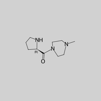 CN1CCN(C(=O)[C@H]2CCCN2)CC1